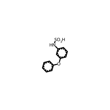 O=S(=O)(O)Nc1cccc(Oc2ccccc2)c1